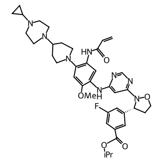 C=CC(=O)Nc1cc(Nc2cc(N3OCC[C@@H]3c3cc(F)cc(C(=O)OC(C)C)c3)ncn2)c(OC)cc1N1CCC(N2CCN(C3CC3)CC2)CC1